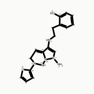 NN1C=C(NCCc2ccccc2O)C2=CCN(c3ccco3)NN21